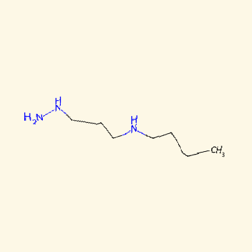 CCCCNCCCNN